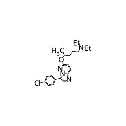 CCN(CC)CCCC(C)Oc1ccc2ncc(-c3ccc(Cl)cc3)n2n1